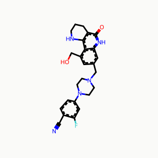 N#Cc1ccc(N2CCN(Cc3cc(CO)c4c5c(c(=O)[nH]c4c3)CCCN5)CC2)cc1F